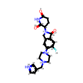 O=C1CCC(N2Cc3cc(N4CCN(Cc5cc[nH]c5)CC4)c(F)cc3C2=O)C(=O)N1